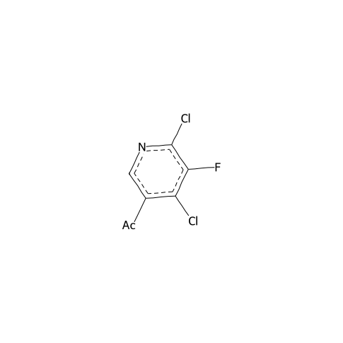 CC(=O)c1cnc(Cl)c(F)c1Cl